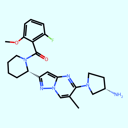 COc1cccc(F)c1C(=O)N1CCCC[C@H]1c1cc2nc(N3CC[C@H](N)C3)c(C)cn2n1